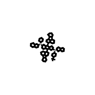 CC(C)(C)c1ccc(N(c2ccc3ccccc3c2)c2ccc3c(-c4ccc5c6c(cccc46)-c4ccccc4-5)c4cc(N(c5ccccc5)c5ccc6ccccc6c5)ccc4c(-c4ccc5c6c(cccc46)-c4ccccc4-5)c3c2)cc1